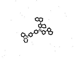 C1=CC2c3ccccc3N(c3ccc(-c4ccc(N(c5cccc(-c6cccc7ccccc67)c5)c5ccc(-c6cccc7ccccc67)c6ccccc56)cc4)cc3)C2C=C1